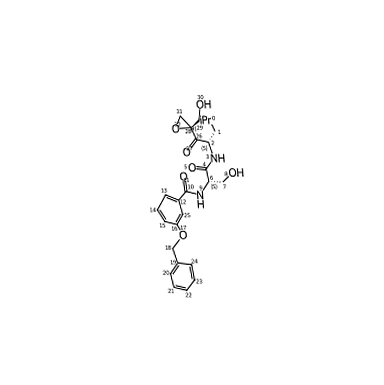 CC(C)C[C@H](NC(=O)[C@H](CO)NC(=O)c1cccc(OCc2ccccc2)c1)C(=O)[C@@]1(CO)CO1